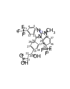 Cn1/c(=N/c2ccc(C(F)(F)F)cc2)n(Cc2ccc(C(O)CCC(=O)O)cc2)c2cc(C(F)(F)F)ccc21